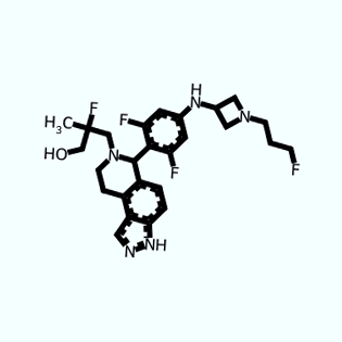 CC(F)(CO)CN1CCc2c(ccc3[nH]ncc23)C1c1c(F)cc(NC2CN(CCCF)C2)cc1F